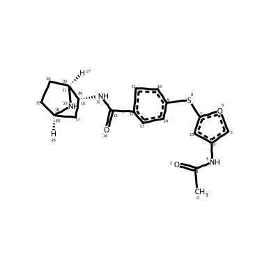 CC(=O)Nc1coc(Sc2ccc(C(=O)N[C@@H]3C[C@H]4CC[C@@H]3N4)cc2)c1